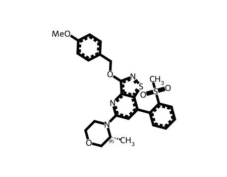 COc1ccc(COc2nsc3c(-c4ccccc4S(C)(=O)=O)cc(N4CCOC[C@H]4C)nc23)cc1